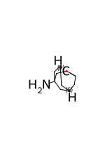 NC12CCC3C[C@H](C[C@H](C3)C1)C2